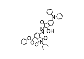 CCC(CC)N1C(=O)c2c(N=NC3=C(O)c4ccc(N(c5ccccc5)C5C=CC=CC5)cc4C3=O)ccc(C(=O)Oc3ccccc3)c2C1=O